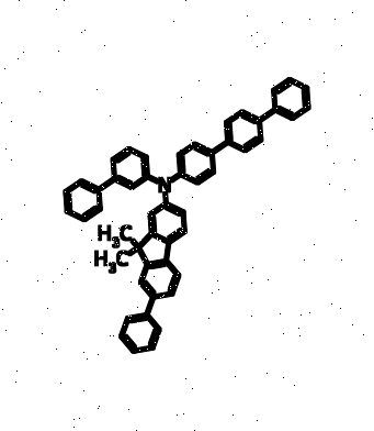 CC1(C)c2cc(-c3ccccc3)ccc2-c2ccc(N(c3ccc(-c4ccc(-c5ccccc5)cc4)cc3)c3cccc(-c4ccccc4)c3)cc21